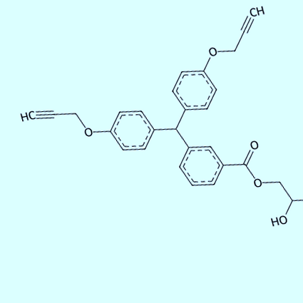 C#CCOc1ccc(C(c2ccc(OCC#C)cc2)c2cccc(C(=O)OCC(C)O)c2)cc1